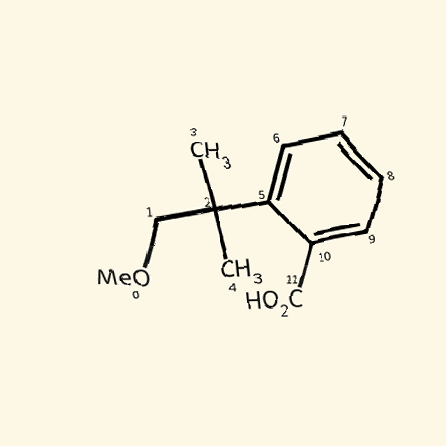 COCC(C)(C)c1ccccc1C(=O)O